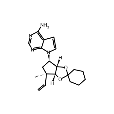 C=C[C@@]1(C)C[C@@H](n2ccc3c(N)ncnc32)[C@@H]2OC3(CCCCC3)O[C@@H]21